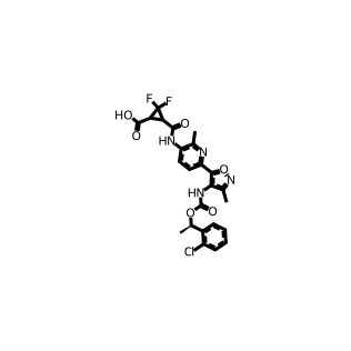 Cc1nc(-c2onc(C)c2NC(=O)O[C@H](C)c2ccccc2Cl)ccc1NC(=O)C1C(C(=O)O)C1(F)F